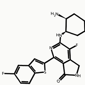 N[C@H]1CCCC[C@H]1Nc1nc(-c2cc3cc(F)ccc3s2)c2c(c1F)CNC2=O